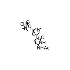 CC(=O)NC1C=CN(C2CN(C)C[C@@H](CO[P@@](=O)(Cl)N(C)C)O2)C(=O)N1